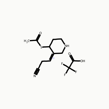 CC(=O)SC1CCNC/C1=C/CC#N.O=C(O)C(F)(F)F